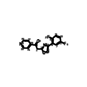 O=C(Cc1nc(-c2cc(F)ccc2F)no1)c1ccncc1